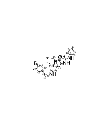 O=C(Nc1ccccc1)NC(CCCCN[C@@H]1C[C@H]1c1ccc(F)cc1)C(=O)N1CCCCC1